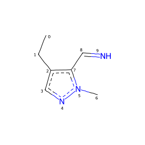 CCc1cnn(C)c1C=N